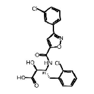 O=C(N[C@H](Cc1ccccc1Cl)C(O)C(=O)O)c1cc(-c2cccc(Cl)c2)no1